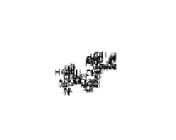 C/N=C\c1cncc(COc2cc(OCc3cccc(-c4cccc(COc5cc(OCc6cncc(/C=N/C)c6)c(CN[C@H](C(=O)O)[C@@H](C)OC)cc5Cl)c4C)c3C)c(Cl)cc2CN[C@H](C(=O)O)[C@@H](C)OC)c1